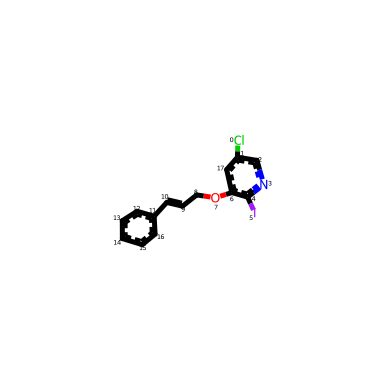 Clc1cnc(I)c(OCC=Cc2ccccc2)c1